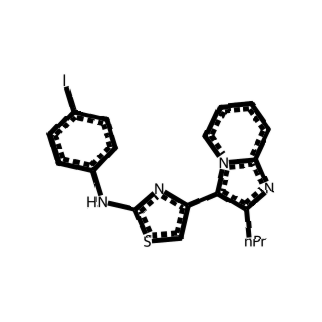 CCCc1nc2ccccn2c1-c1csc(Nc2ccc(I)cc2)n1